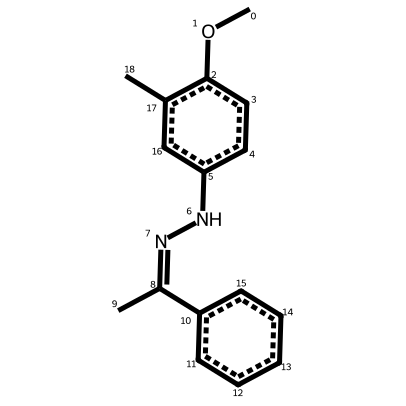 COc1ccc(NN=C(C)c2ccccc2)cc1C